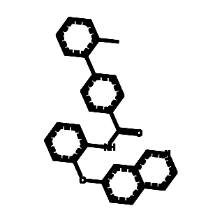 Cc1ccccc1-c1ccc(C(=O)Nc2ccccc2Oc2ccc3ccncc3c2)cc1